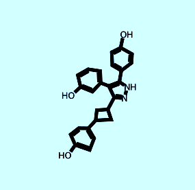 Oc1ccc(-c2[nH]nc(C3CC(c4ccc(O)cc4)C3)c2-c2cccc(O)c2)cc1